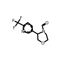 O=CN1CCOCC1c1ccc(C(F)(F)F)nc1